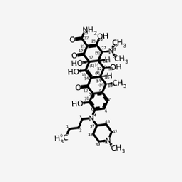 CCCCN(c1ccc2c(c1O)C(=O)C1=C(O)[C@]3(O)C(=O)C(C(N)=O)=C(O)[C@@H](N(C)C)[C@@H]3[C@@H](O)[C@@H]1[C@H]2C)C1CCN(C)CC1